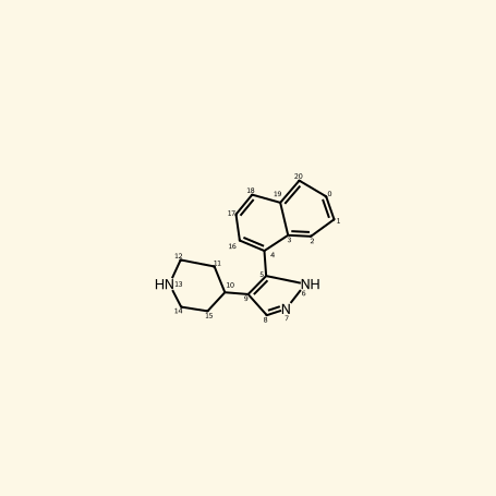 c1ccc2c(-c3[nH]ncc3C3CCNCC3)cccc2c1